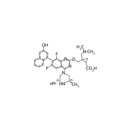 CCC[C@@H]1CN(c2nc(OCC3(CN(C)C)CC3C(=O)O)nc3c(F)c(-c4cc(O)cc5ccccc45)c(F)cc23)C[C@@H](C)N1